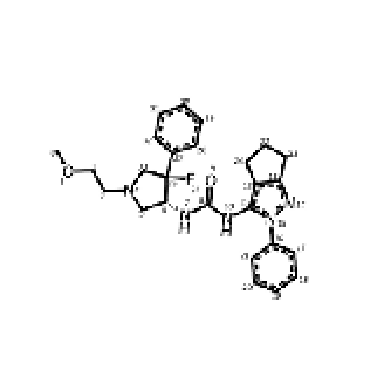 COCCN1C[C@@H](NC(=O)Nc2c3c(nn2-c2ccccc2)CCC3)[C@@](F)(c2ccccc2)C1